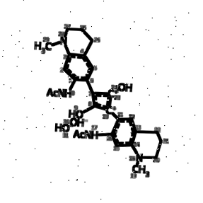 CC(=O)Nc1cc2c(cc1-c1c(O)[c+](-c3cc4c(cc3NC(C)=O)N(C)CCC4)[c+]1O)CCCN2C.[OH-].[OH-]